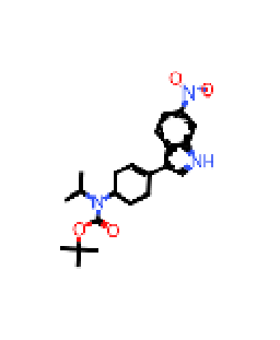 CC(C)N(C(=O)OC(C)(C)C)C1CC=C(c2c[nH]c3cc([N+](=O)[O-])ccc23)CC1